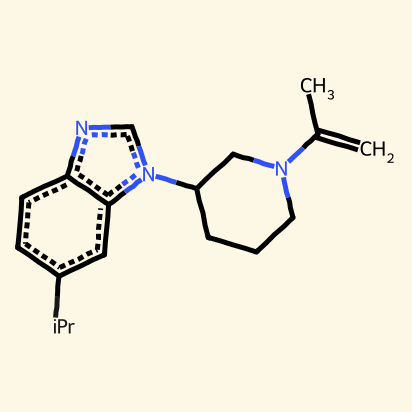 C=C(C)N1CCCC(n2cnc3ccc(C(C)C)cc32)C1